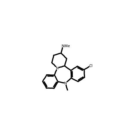 CNC1CCN2c3ccccc3N(C)c3ccc(Cl)cc3C2C1